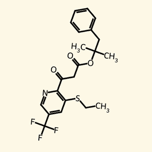 CCSc1cc(C(F)(F)F)cnc1C(=O)CC(=O)OC(C)(C)Cc1ccccc1